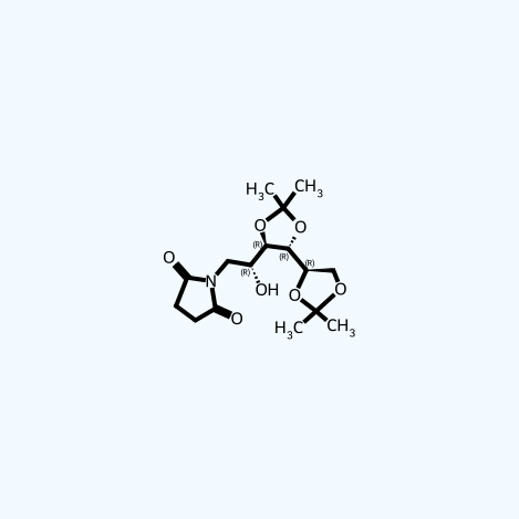 CC1(C)O[C@H]([C@H](O)CN2C(=O)CCC2=O)[C@@H]([C@H]2COC(C)(C)O2)O1